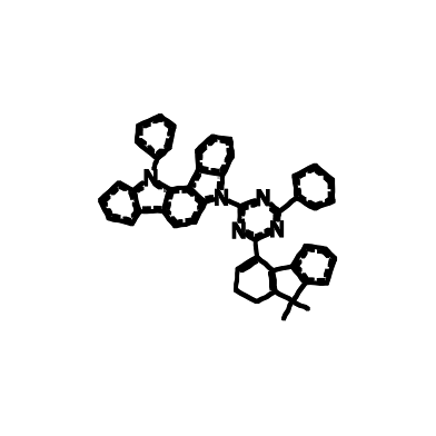 CC1(C)C2=C(C(c3nc(-c4ccccc4)nc(-n4c5ccccc5c5c4ccc4c6ccccc6n(-c6ccccc6)c45)n3)=CCC2)c2ccccc21